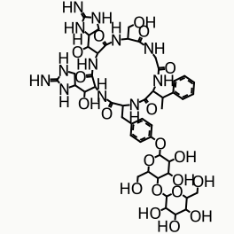 CC(c1ccccc1)C1NC(=O)CNC(=O)C(CO)NC(=O)C(C(O)C2CNC(=N)N2)NC(=O)C(C(O)C2CNC(=N)N2)NC(=O)C(Cc2ccc(OC3OC(CO)C(OC4OC(CO)C(O)C(O)C4O)C(O)C3O)cc2)NC1=O